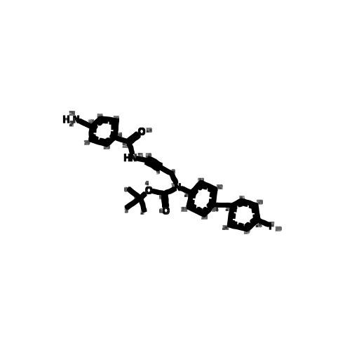 CC(C)(C)OC(=O)N(CC#CNC(=O)c1ccc(N)cc1)c1ccc(-c2ccc(F)cc2)cc1